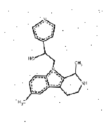 Cc1ccc2c(c1)c1c(n2CC(O)c2ccncc2)C(C)NCC1